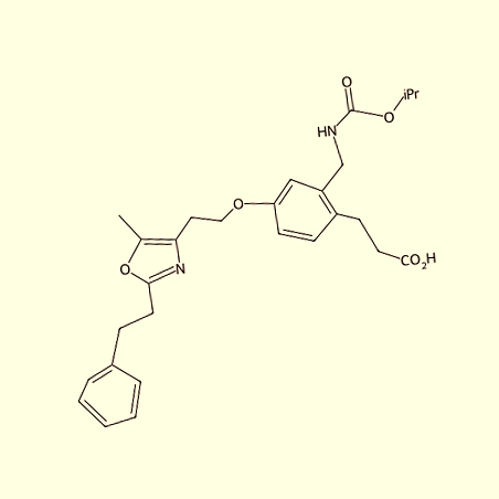 Cc1oc(CCc2ccccc2)nc1CCOc1ccc(CCC(=O)O)c(CNC(=O)OC(C)C)c1